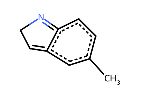 Cc1ccc2c(c1)=CCN=2